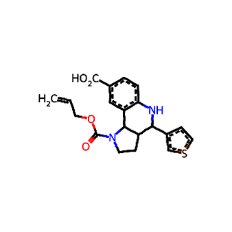 C=CCOC(=O)N1CCC2C(c3ccsc3)Nc3ccc(C(=O)O)cc3C21